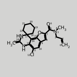 C=CCN(C)C(=O)c1cc2cc(Cl)c3c(c2o1)C1(CCCCC1)NC(=C)N3